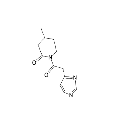 CC1CCN(C(=O)Cc2ccncn2)C(=O)C1